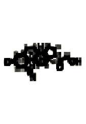 C[C@]12CC[C@H]3[C@@H](CCC4=CC(=O)CC(C#N)[C@@]43C)[C@@H]1CC[C@@H]2C(=O)CO